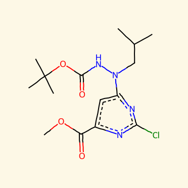 COC(=O)c1cc(N(CC(C)C)NC(=O)OC(C)(C)C)nc(Cl)n1